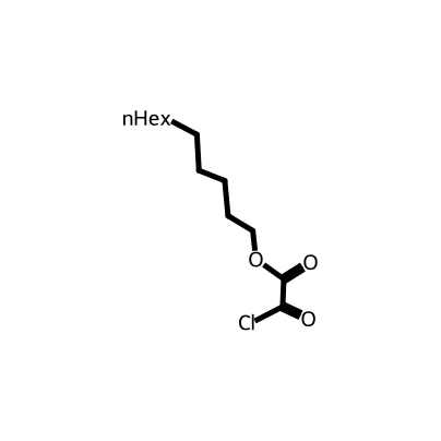 CCCCCCCCCCCOC(=O)C(=O)Cl